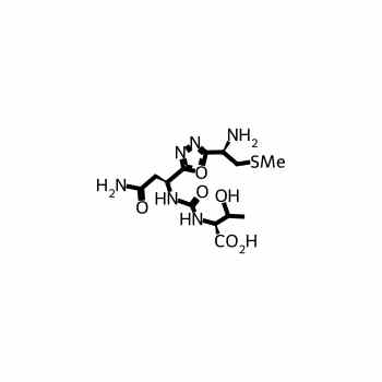 CSC[C@H](N)c1nnc([C@H](CC(N)=O)NC(=O)N[C@H](C(=O)O)C(C)O)o1